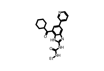 CCNC(=O)Nc1nc2cc(-c3cccnc3)cc(C(=O)C3CCCCC3)c2[nH]1